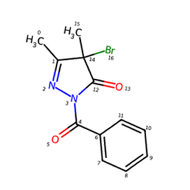 CC1=NN(C(=O)c2ccccc2)C(=O)C1(C)Br